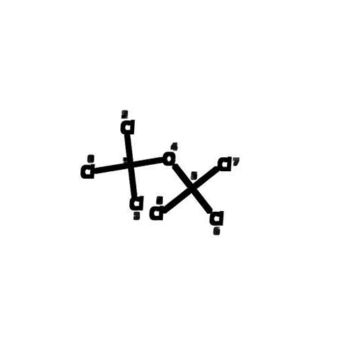 ClC(Cl)(Cl)OC(Cl)(Cl)Cl